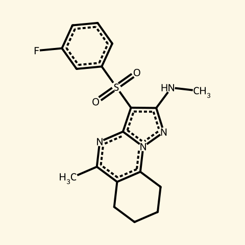 CNc1nn2c3c(c(C)nc2c1S(=O)(=O)c1cccc(F)c1)CCCC3